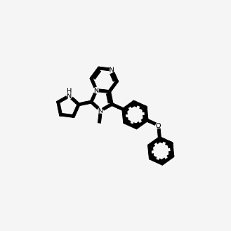 CN1C(c2ccc(Oc3ccccc3)cc2)=C2C=NC=CN2C1C1CCCN1